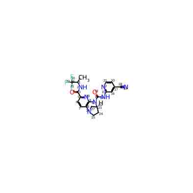 CC(NC(=O)c1ccc2c(n1)N(C(=O)Nc1cc(C#N)ccn1)[C@H]1CCN2C1)C(F)(F)F